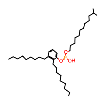 CCCCCCCCCc1cccc(OP(O)OCCCCCCCCCCC(C)C)c1CCCCCCCCC